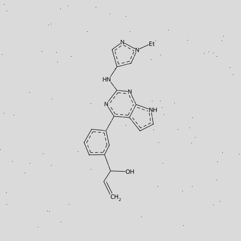 C=CC(O)c1cccc(-c2nc(Nc3cnn(CC)c3)nc3[nH]ccc23)c1